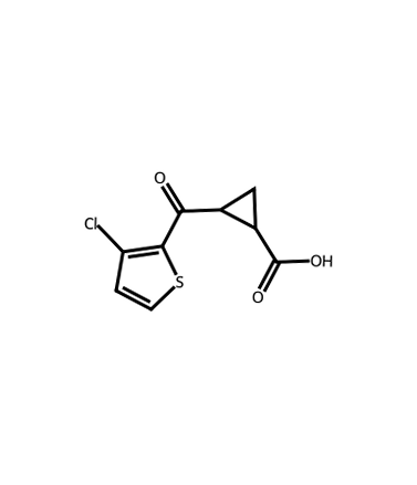 O=C(O)C1CC1C(=O)c1sccc1Cl